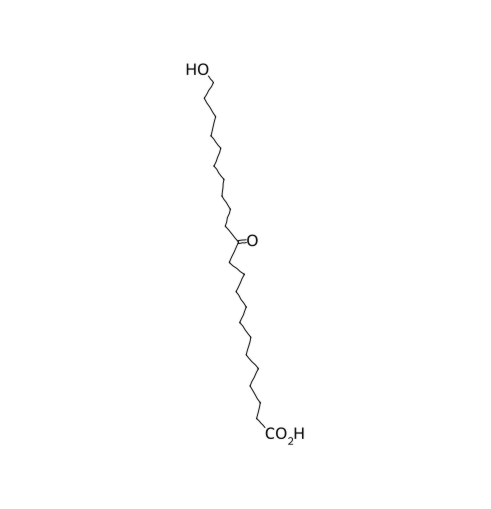 O=C(O)CCCCCCCCCCCC(=O)CCCCCCCCCCO